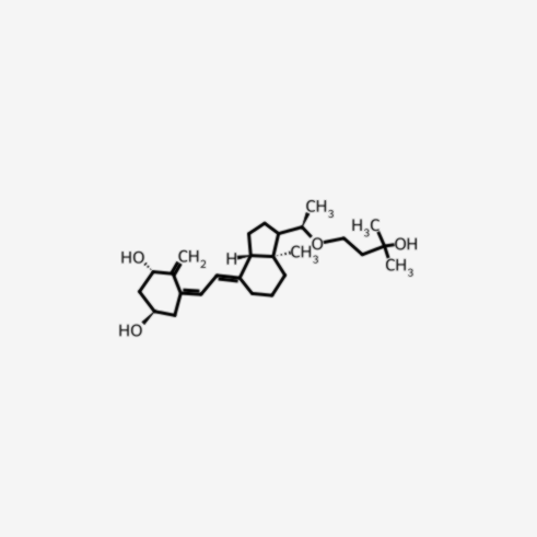 C=C1/C(=C\C=C2/CCC[C@]3(C)C([C@@H](C)OCCC(C)(C)O)CC[C@@H]23)C[C@@H](O)C[C@@H]1O